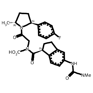 CNC(=O)Nc1ccc2c(c1)CC[C@@H]2C(=O)N(CC(=O)N1[C@H](C)CC[C@H]1c1ccc(F)cc1)C(=O)O